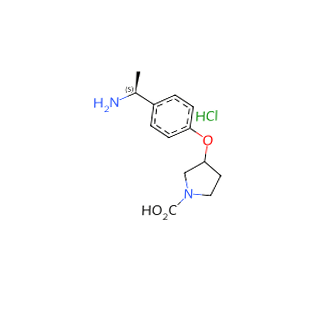 C[C@H](N)c1ccc(OC2CCN(C(=O)O)C2)cc1.Cl